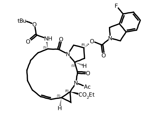 CCOC(=O)[C@@]12C[C@H]1C=CCCCCC[C@H](NC(=O)OC(C)(C)C)C(=O)N1C[C@H](OC(=O)N3Cc4cccc(F)c4C3)C[C@H]1C(=O)N2C(C)=O